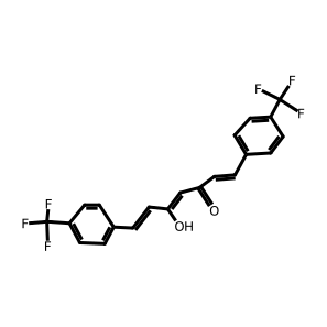 O=C(C=Cc1ccc(C(F)(F)F)cc1)C=C(O)C=Cc1ccc(C(F)(F)F)cc1